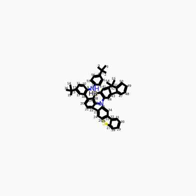 CC(C)(C)c1ccc(Nc2ccc(C(C)(C)C)cc2-c2ccc3c4cc5sc6ccccc6c5cc4n4c3c2Bc2cc3c(cc2-4)-c2ccccc2C3(C)C)cc1